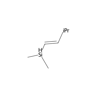 CC(C)C=C[SiH](C)C